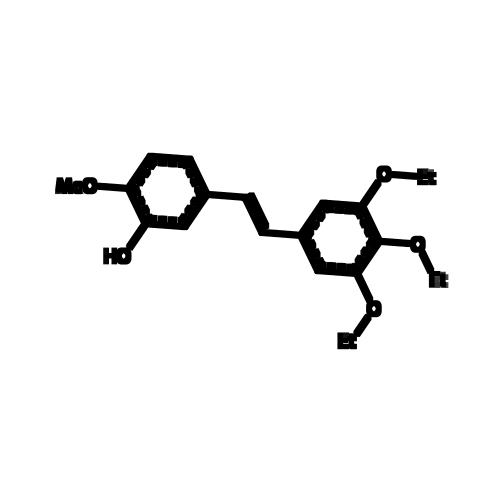 CCOc1cc(C=Cc2ccc(OC)c(O)c2)cc(OCC)c1OCC